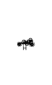 Cc1nc(NC(=O)CCc2ccccc2)sc1C(Cc1ccccc1)C1=COCO1